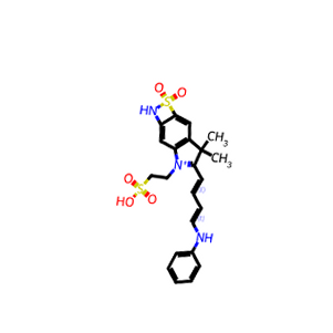 CC1(C)C(/C=C/C=C/Nc2ccccc2)=[N+](CCS(=O)(=O)O)c2cc3c(cc21)S(=O)(=O)N3